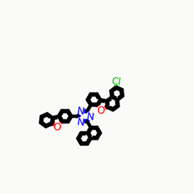 Clc1ccc2ccc3oc4c(-c5nc(-c6ccc7c(c6)oc6ccccc67)nc(-c6cccc7ccccc67)n5)cccc4c3c2c1